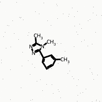 Cc1cccc(-c2nnc(C)n2C)c1